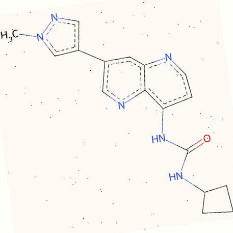 Cn1cc(-c2cnc3c(NC(=O)NC4CCC4)ccnc3c2)cn1